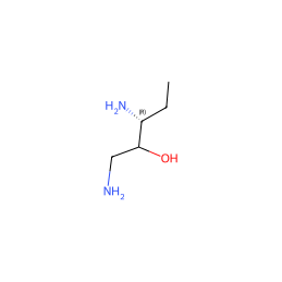 CC[C@@H](N)C(O)CN